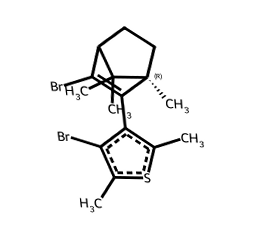 Cc1sc(C)c(C2=C(Br)C3CC[C@]2(C)C3(C)C)c1Br